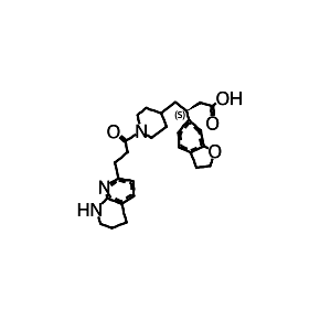 O=C(O)C[C@H](CC1CCN(C(=O)CCc2ccc3c(n2)NCCC3)CC1)c1ccc2c(c1)OCC2